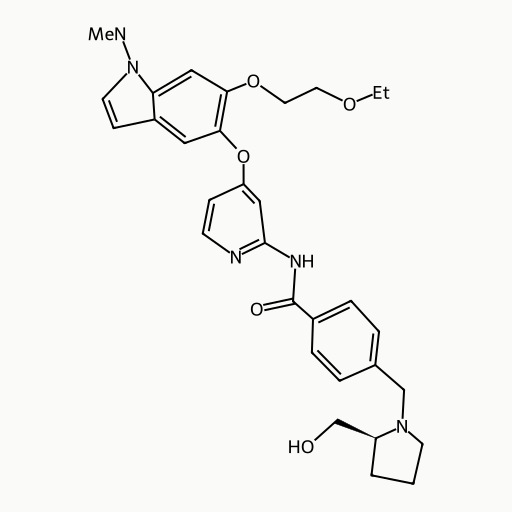 CCOCCOc1cc2c(ccn2NC)cc1Oc1ccnc(NC(=O)c2ccc(CN3CCC[C@H]3CO)cc2)c1